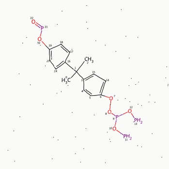 CC(C)(c1ccc(OOP(OP)OP)cc1)c1ccc(OP=O)cc1